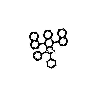 C1=CCCC(c2nc3c(-c4cccc5ccccc45)c4ccccc4c(-c4cccc5ccccc45)c3n2-c2ccccc2)=C1